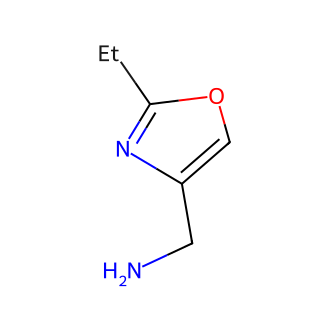 CCc1nc(CN)co1